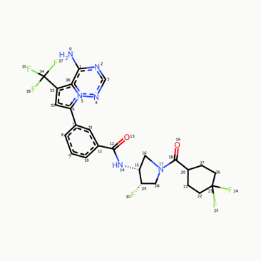 Nc1ncnn2c(-c3cccc(C(=O)N[C@@H]4CN(C(=O)C5CCC(F)(F)CC5)C[C@@H]4F)c3)cc(C(F)(F)F)c12